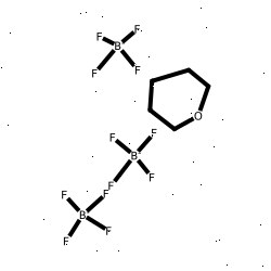 C1CCOCC1.F[B-](F)(F)F.F[B-](F)(F)F.F[B-](F)(F)F